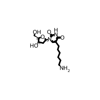 NCCCCCCc1cn([C@H]2C[C@H](O)[C@@H](CO)O2)c(=O)[nH]c1=O